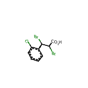 O=C(O)C(Br)C(Br)c1ccccc1Cl